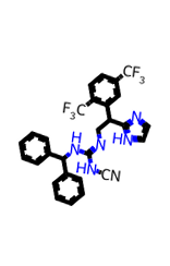 N#CNC(=NCC(c1ncc[nH]1)c1cc(C(F)(F)F)ccc1C(F)(F)F)NC(c1ccccc1)c1ccccc1